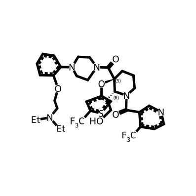 CCN(CC)CCOc1ccccc1N1CCN(C(=O)[C@]2(Oc3csc(C(F)(F)F)c3)CCCN(C(=O)c3cnccc3C(F)(F)F)[C@@H]2CCO)CC1